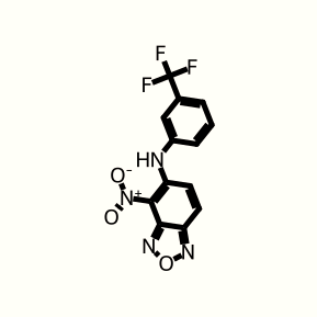 O=[N+]([O-])c1c(Nc2cccc(C(F)(F)F)c2)ccc2nonc12